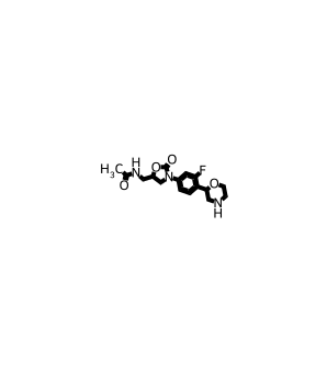 CC(=O)NCC1CN(c2ccc(C3CNCCO3)c(F)c2)C(=O)O1